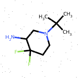 CC(C)(C)N1CCC(F)(F)C(N)C1